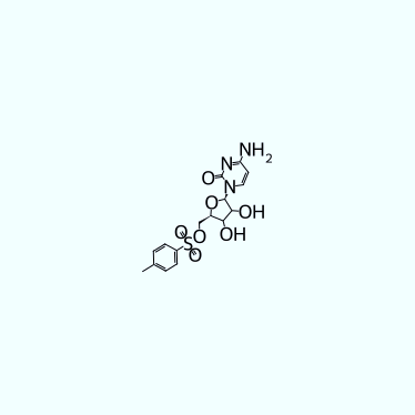 Cc1ccc(S(=O)(=O)OC[C@H]2O[C@@H](n3ccc(N)nc3=O)C(O)C2O)cc1